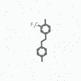 Cc1ccc(CCc2ccc(C)c(C(F)(F)F)c2)cc1